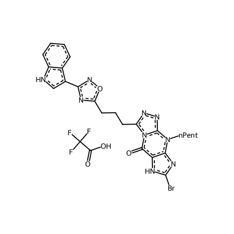 CCCCCn1c2nc(Br)[nH]c2c(=O)n2c(CCCc3nc(-c4c[nH]c5ccccc45)no3)nnc12.O=C(O)C(F)(F)F